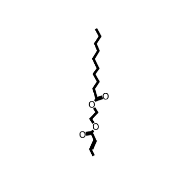 CC=CC(=O)OCCOC(=O)CCCCCCCCC